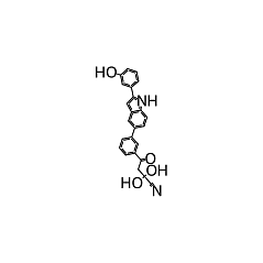 N#CC(O)(O)CC(=O)c1cccc(-c2ccc3[nH]c(-c4cccc(O)c4)cc3c2)c1